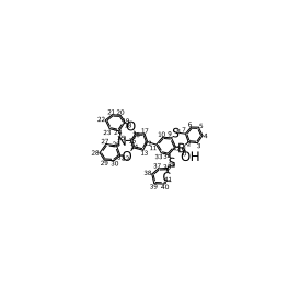 OB1c2ccccc2Sc2cc(-c3cc4c5c(c3)Oc3ccccc3N5c3ccccc3O4)cc(Sc3ccccc3)c21